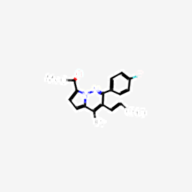 COC(=O)c1ccc2c(C(C)C)c(C=CC=O)c(-c3ccc(F)cc3)nn12